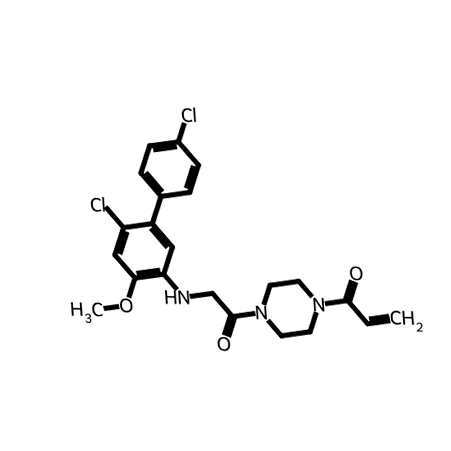 C=CC(=O)N1CCN(C(=O)CNc2cc(-c3ccc(Cl)cc3)c(Cl)cc2OC)CC1